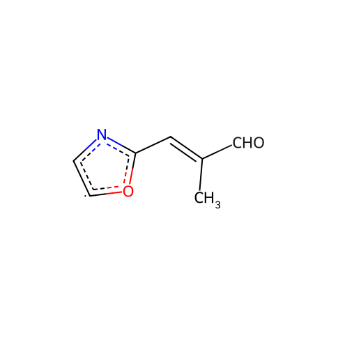 CC(C=O)=Cc1nc[c]o1